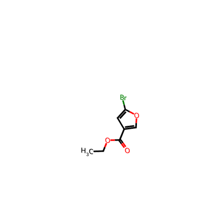 CCOC(=O)c1coc(Br)c1